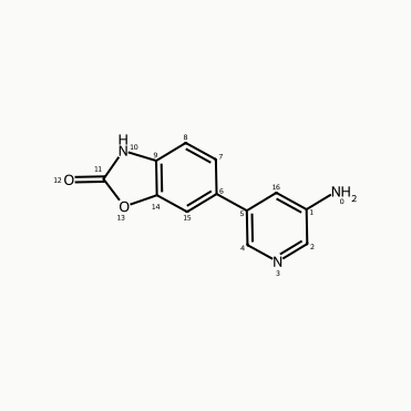 Nc1cncc(-c2ccc3[nH]c(=O)oc3c2)c1